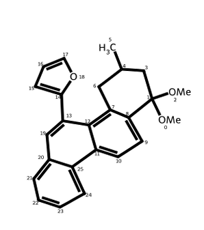 COC1(OC)CC(C)Cc2c1ccc1c2c(-c2ccco2)cc2ccccc21